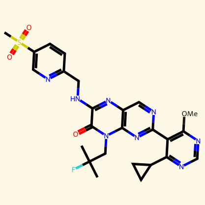 COc1ncnc(C2CC2)c1-c1ncc2nc(NCc3ccc(S(C)(=O)=O)cn3)c(=O)n(CC(C)(C)F)c2n1